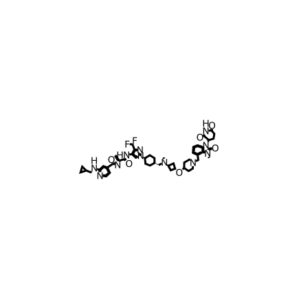 Cn1c(=O)n(C2CCC(=O)NC2=O)c2cccc(CN3CCC(O[C@H]4C[C@H](N(C)C[C@H]5CC[C@H](n6cc(NC(=O)c7coc(-c8ccnc(NCC9CC9)c8)n7)c(C(F)F)n6)CC5)C4)CC3)c21